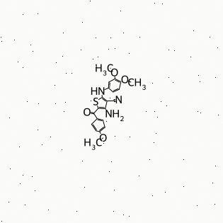 COc1ccc(C(=O)c2sc(Nc3ccc(OC)c(OC)c3)c(C#N)c2N)cc1